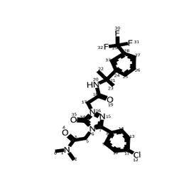 CN(C)C(=O)Cn1c(-c2ccc(Cl)cc2)nn(CC(=O)NC(C)(C)c2cccc(C(F)(F)F)c2)c1=O